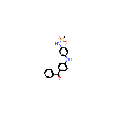 CS(=O)(=O)Nc1ccc(Nc2ccc(C(=O)c3ccccc3)cc2)cc1